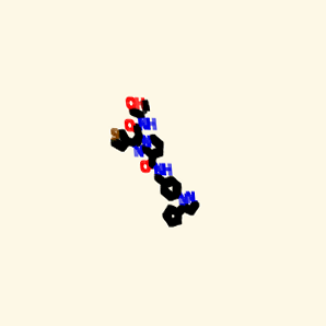 CC[C@@H](CO)NC(=O)c1c(-c2ccsc2)nc2c(C(=O)NCc3ccc(-n4nccc4C4CCCC4)cc3)cccn12